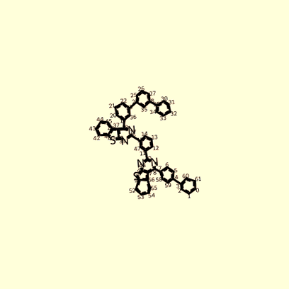 c1ccc(-c2ccc(-c3nc(-c4cccc(-c5nc(-c6cccc(-c7cccc(-c8ccccc8)c7)c6)c6c(n5)sc5ccccc56)c4)nc4sc5ccccc5c34)cc2)cc1